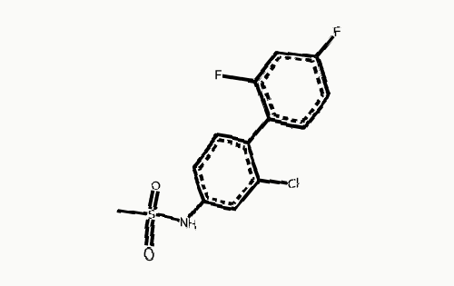 CS(=O)(=O)Nc1ccc(-c2ccc(F)cc2F)c(Cl)c1